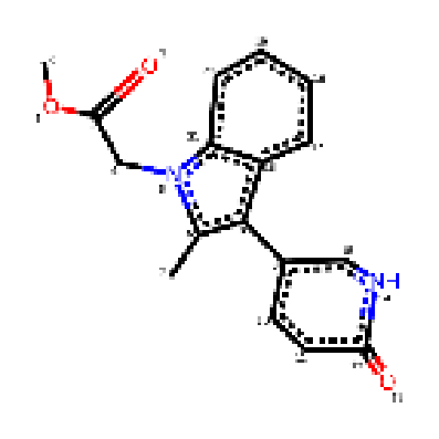 COC(=O)Cn1c(C)c(-c2ccc(=O)[nH]c2)c2ccccc21